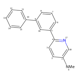 CNc1ccc(-c2cccc(-c3ccccc3)c2)nc1